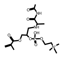 C=C(C)C(=O)OCC(CNC(C)C(=O)NC(C)=O)OP(=O)(O)OCC[N+](C)(C)C